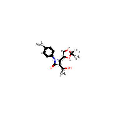 COc1ccc(N2C(=O)[C@H]([C@H](C)O)[C@H]2[C@H]2COC(C)(C)O2)cc1